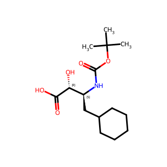 CC(C)(C)OC(=O)N[C@@H](CC1CCCCC1)[C@@H](O)C(=O)O